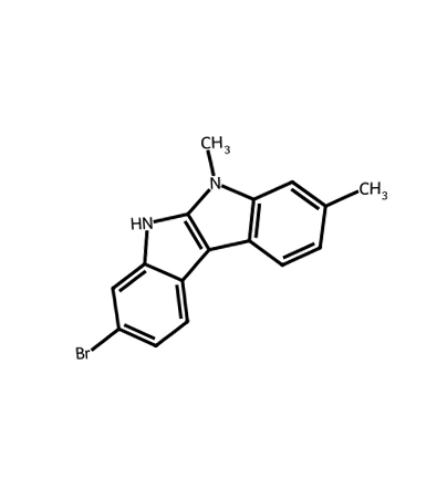 Cc1ccc2c3c4ccc(Br)cc4[nH]c3n(C)c2c1